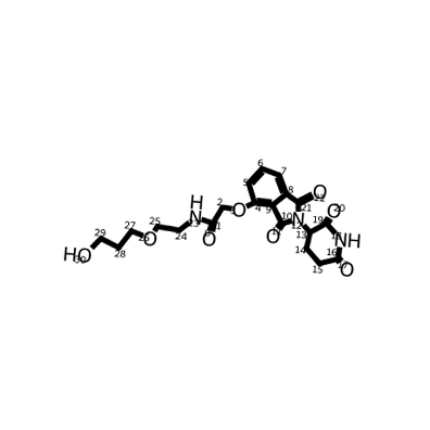 O=C(COc1cccc2c1C(=O)N(C1CCC(=O)NC1=O)C2=O)NCCOCCCO